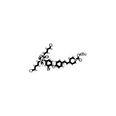 CC(C)(C)OC(=O)N1CCC(CCc2ccc(Oc3ccc(N(S(=O)(=O)CCCCCl)S(=O)(=O)CCCCCl)cc3Br)cc2)CC1